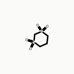 O=S1(=O)CCCS(=O)(=O)C1